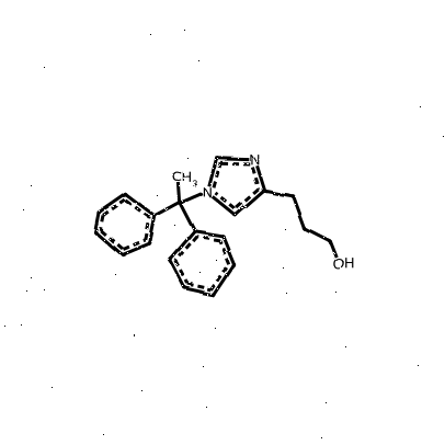 CC(c1ccccc1)(c1ccccc1)n1cnc(CCCO)c1